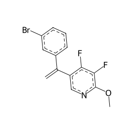 C=C(c1cccc(Br)c1)c1cnc(OC)c(F)c1F